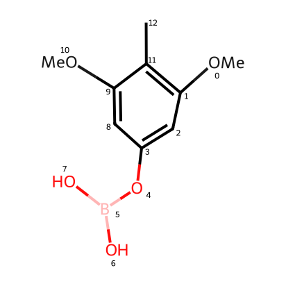 COc1cc(OB(O)O)cc(OC)c1C